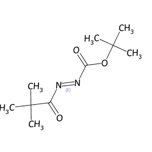 CC(C)(C)OC(=O)/N=N/C(=O)C(C)(C)C